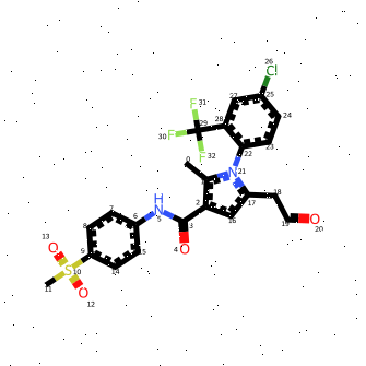 Cc1c(C(=O)Nc2ccc(S(C)(=O)=O)cc2)cc(CC=O)n1-c1ccc(Cl)cc1C(F)(F)F